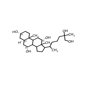 CC(CCCC(C)(O)CO)C1CCC2C3C(C[C@H](O)C12C)C1(C)CC[C@@H](O)C[C@@H]1C[C@H]3O